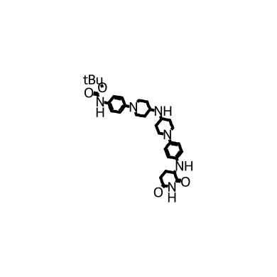 CC(C)(C)OC(=O)Nc1ccc(N2CCC(NC3CCN(c4ccc(NC5CCC(=O)NC5=O)cc4)CC3)CC2)cc1